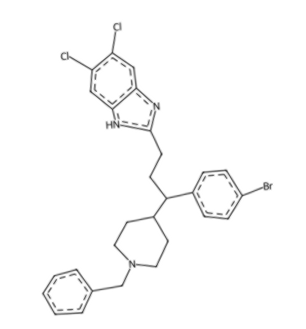 Clc1cc2nc(CCC(c3ccc(Br)cc3)C3CCN(Cc4ccccc4)CC3)[nH]c2cc1Cl